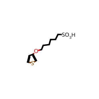 O=S(=O)(O)CCCCCCOc1ccsc1